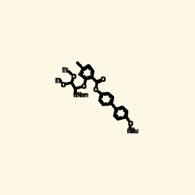 CCCCCCCCCC(Oc1cc(C)ccc1C(=O)Oc1ccc(-c2ccc(OCCCC)cc2)cc1)C(OCC)OCC